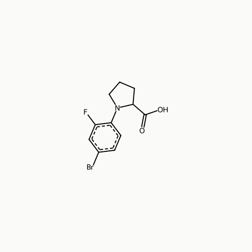 O=C(O)C1CCCN1c1ccc(Br)cc1F